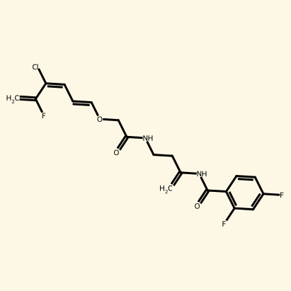 C=C(CCNC(=O)CO/C=C/C=C(/Cl)C(=C)F)NC(=O)c1ccc(F)cc1F